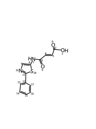 O=C(O)C=CC(=O)Nc1cnc(-c2ccccc2)s1